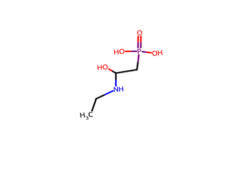 CCNC(O)CP(=O)(O)O